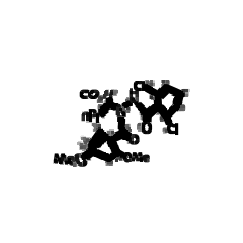 CCCC(C(=O)O)N(NC(=O)c1c(Cl)cccc1Cl)C(=O)c1ccc(OC)cc1OC